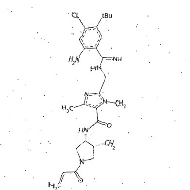 C=CC(=O)N1C[C@@H](C)[C@@H](NC(=O)c2c(C)nc(CNC(=N)c3cc(C(C)(C)C)c(Cl)cc3N)n2C)C1